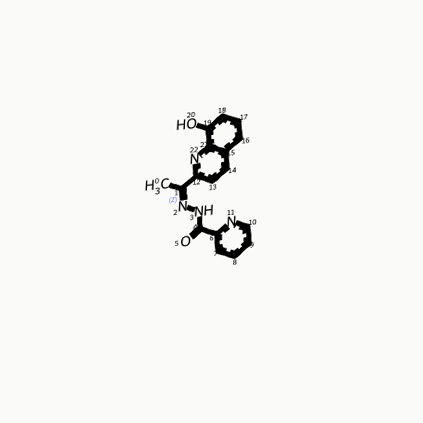 C/C(=N/NC(=O)c1ccccn1)c1ccc2cccc(O)c2n1